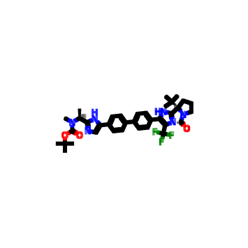 C[C@@H](c1ncc(-c2ccc(-c3ccc(-c4[nH]c([C@@]5(C(C)(C)C)CCCN5[C]=O)nc4C(F)(F)F)cc3)cc2)[nH]1)N(C)C(=O)OC(C)(C)C